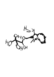 Nc1c(OC(O)C(O)(O)O)nn2ccccc12